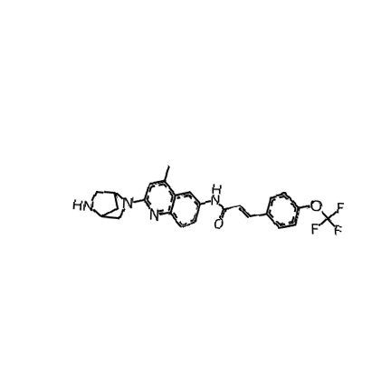 Cc1cc(N2CC3CC2CN3)nc2ccc(NC(=O)/C=C/c3ccc(OC(F)(F)F)cc3)cc12